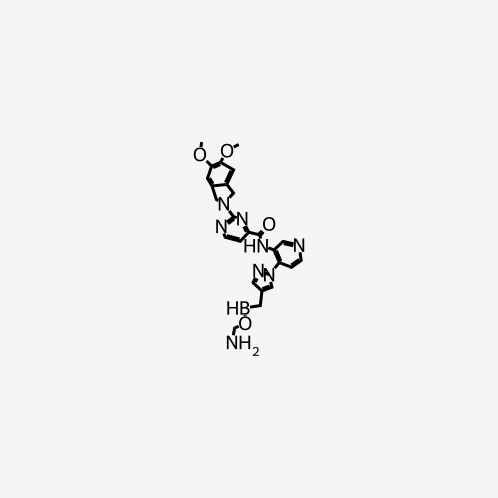 COc1cc2c(cc1OC)CN(c1nccc(C(=O)Nc3cnccc3-n3cc(CBOCN)cn3)n1)C2